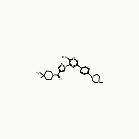 CN1CCN(c2ccc(-c3cnc(N)c(-n4cc(C(=O)N5CCC(C)(N)CC5)cn4)n3)cc2)CC1